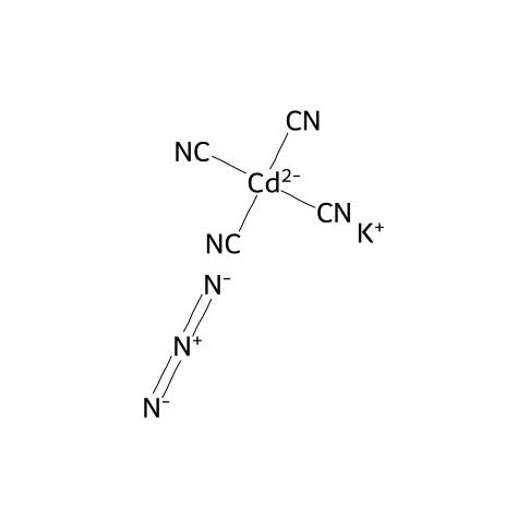 N#[C][Cd-2]([C]#N)([C]#N)[C]#N.[K+].[N-]=[N+]=[N-]